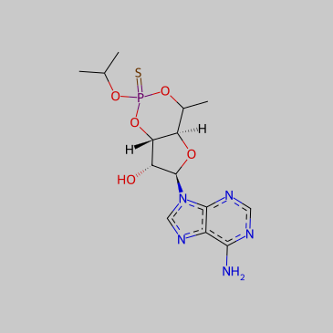 CC(C)OP1(=S)OC(C)[C@H]2O[C@@H](n3cnc4c(N)ncnc43)[C@H](O)[C@@H]2O1